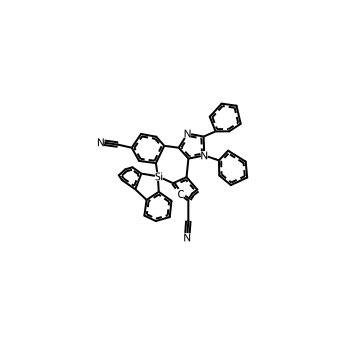 N#Cc1ccc2c(c1)[Si]1(c3ccccc3-c3ccccc31)c1cc(C#N)ccc1-c1c-2nc(-c2ccccc2)n1-c1ccccc1